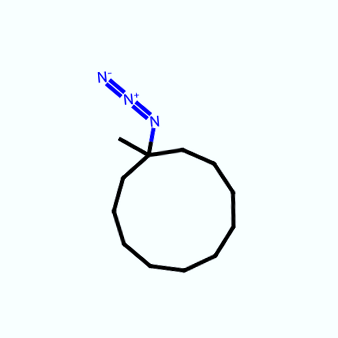 CC1(N=[N+]=[N-])CCCCCCCCCC1